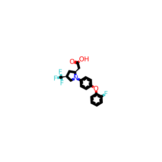 O=C(O)C[C@@H]1C[C@H](C(F)(F)F)CN1c1ccc(Oc2ccccc2F)cc1